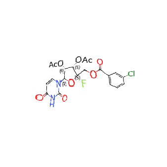 CC(=O)O[C@H]1[C@H](n2ccc(=O)[nH]c2=O)O[C@](F)(COC(=O)c2cccc(Cl)c2)[C@H]1OC(C)=O